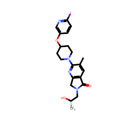 Cc1cc2c(nc1N1CCC(Oc3ccc(I)nc3)CC1)CN(C[C@@H](O)C(F)(F)F)C2=O